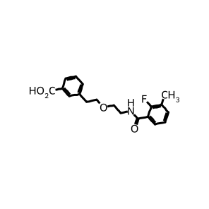 Cc1cccc(C(=O)NCCOCCc2cccc(C(=O)O)c2)c1F